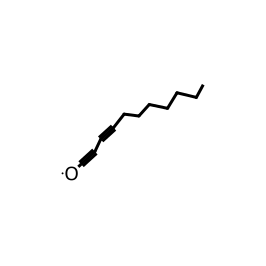 CCCCCCCC#CC#C[O]